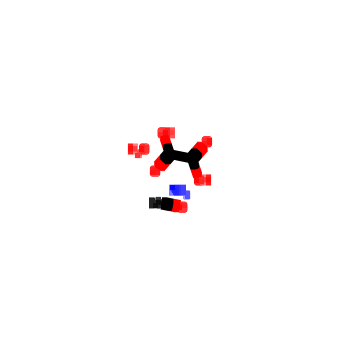 N.O.O=C(O)C(=O)O.[O]=[Nb]